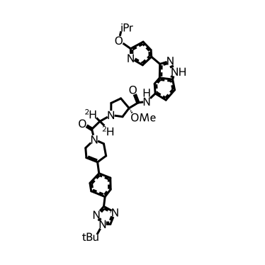 [2H]C([2H])(C(=O)N1CC=C(c2ccc(-c3ncn(C(C)(C)C)n3)cc2)CC1)N1CC[C@@](OC)(C(=O)Nc2ccc3[nH]nc(-c4ccc(OC(C)C)nc4)c3c2)C1